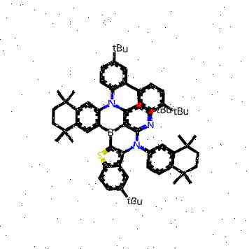 CC(C)(C)c1ccc(-c2cc(C(C)(C)C)ccc2N2c3cc4c(cc3B3c5sc6ccc(C(C)(C)C)cc6c5N(c5ccc6c(c5)C(C)(C)CCC6(C)C)c5nc(C(C)(C)C)cc2c53)C(C)(C)CCC4(C)C)cc1